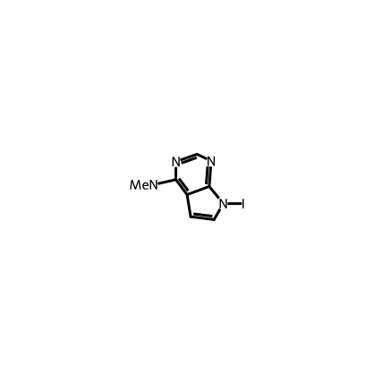 CNc1ncnc2c1ccn2I